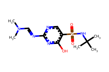 CN(C)/C=N/c1ncc(S(=O)(=O)NC(C)(C)C)c(O)n1